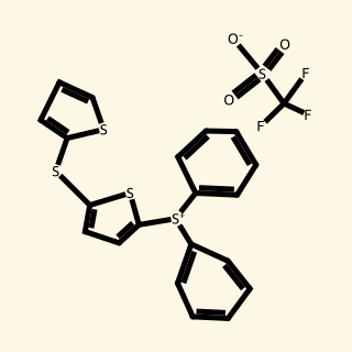 O=S(=O)([O-])C(F)(F)F.c1ccc([S+](c2ccccc2)c2ccc(Sc3cccs3)s2)cc1